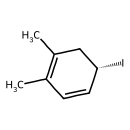 CC1=C(C)C[C@H](I)C=C1